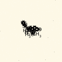 CC12CCC(=O)C=C1CCC1C2[C@@H](O[Si](C)(C)C)CC2(C)C1CC[C@]2(O)C(=O)CSc1nc2ccccc2s1